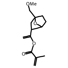 C=C(C)C(=O)OC(=C)C1CC2(COC)CCC1O2